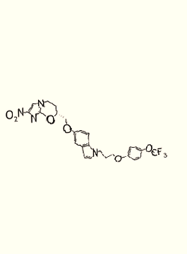 O=[N+]([O-])c1cn2c(n1)O[C@@H](COc1ccc3c(ccn3CCCOc3ccc(OC(F)(F)F)cc3)c1)CC2